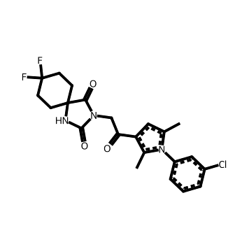 Cc1cc(C(=O)CN2C(=O)NC3(CCC(F)(F)CC3)C2=O)c(C)n1-c1cccc(Cl)c1